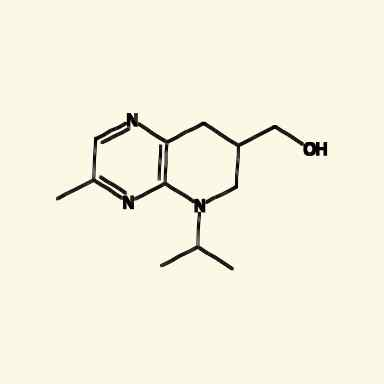 Cc1cnc2c(n1)N(C(C)C)CC(CO)C2